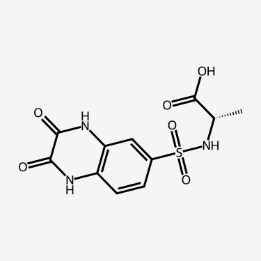 C[C@H](NS(=O)(=O)c1ccc2[nH]c(=O)c(=O)[nH]c2c1)C(=O)O